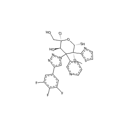 CO[C@@]1(c2nccs2)[C@@H](S)O[C@](Cl)(CO)[C@H](O)C1(c1cccnc1)n1cc(-c2cc(F)c(F)c(F)c2)nn1